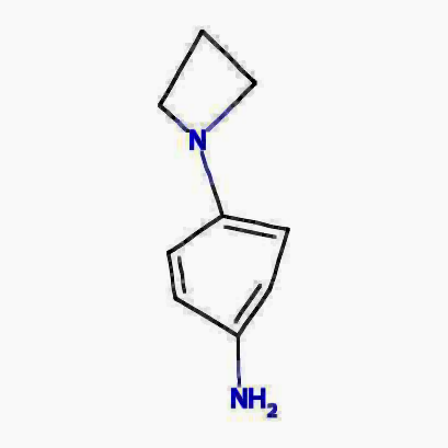 Nc1ccc(N2CCC2)cc1